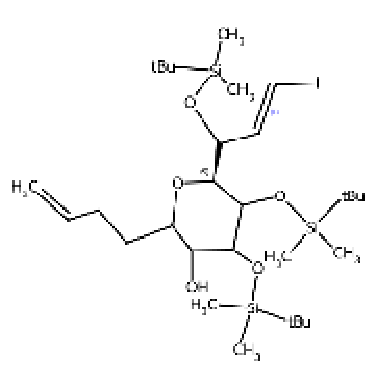 C=CCCC1O[C@@H](C(/C=C/I)O[Si](C)(C)C(C)(C)C)C(O[Si](C)(C)C(C)(C)C)C(O[Si](C)(C)C(C)(C)C)C1O